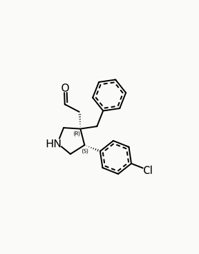 O=CC[C@@]1(Cc2ccccc2)CNC[C@H]1c1ccc(Cl)cc1